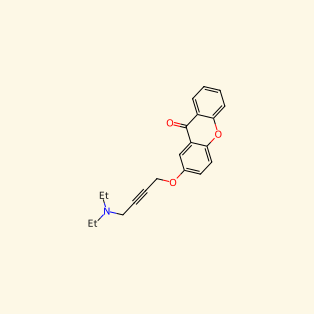 CCN(CC)CC#CCOc1ccc2oc3ccccc3c(=O)c2c1